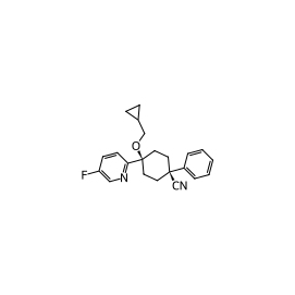 N#C[C@]1(c2ccccc2)CC[C@@](OCC2CC2)(c2ccc(F)cn2)CC1